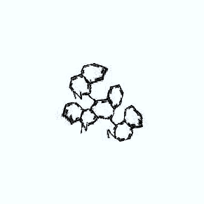 c1ccc2c(-c3c4ccccc4c(-c4nccc5ccccc45)c4c3cnc3ccccc34)nccc2c1